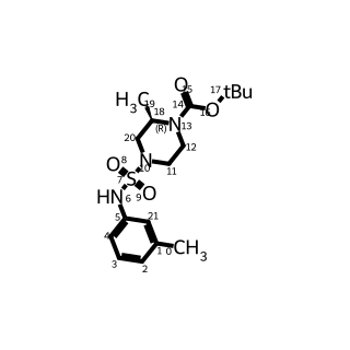 Cc1cccc(NS(=O)(=O)N2CCN(C(=O)OC(C)(C)C)[C@H](C)C2)c1